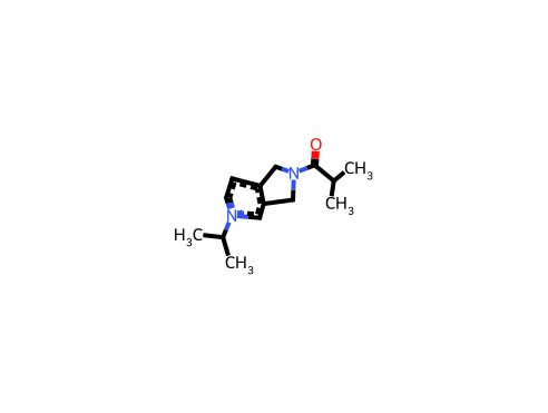 CC(C)C(=O)N1Cc2cc[n+](C(C)C)cc2C1